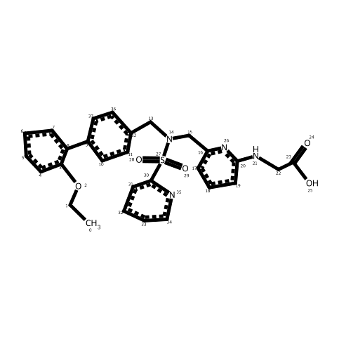 CCOc1ccccc1-c1ccc(CN(Cc2cccc(NCC(=O)O)n2)S(=O)(=O)c2ccccn2)cc1